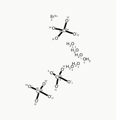 O.O.O.O.O.O.[Er+3].[O-][Cl+3]([O-])([O-])[O-].[O-][Cl+3]([O-])([O-])[O-].[O-][Cl+3]([O-])([O-])[O-]